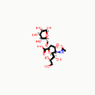 CC(=O)N[C@H]1[C@H]([C@H](O)[C@H](O)CO)O[C@@](OC[C@H]2O[C@@H](O)[C@H](O)[C@@H](O)[C@H]2O)(C(=O)O)C[C@@H]1O